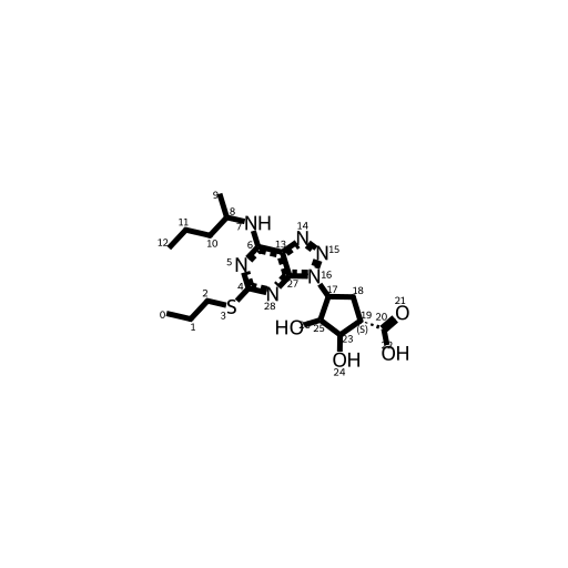 CCCSc1nc(NC(C)CCC)c2nnn(C3C[C@H](C(=O)O)C(O)C3O)c2n1